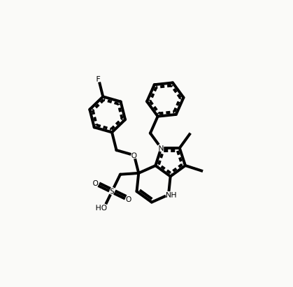 Cc1c2c(n(Cc3ccccc3)c1C)C(CS(=O)(=O)O)(OCc1ccc(F)cc1)C=CN2